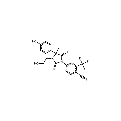 CC1(c2ccc(O)cc2)C(=O)N(c2ccc(C#N)c(C(F)(F)F)c2)C(=O)N1CCO